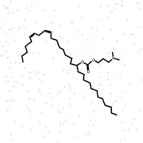 CCCCC/C=C\C/C=C\CCCCCCCC(CCCCCCCCCCCC)OC(=O)OCCCN(C)C